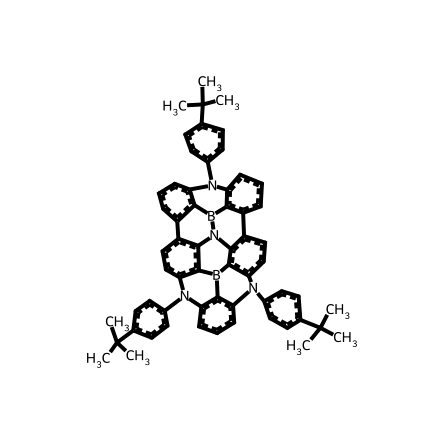 CC(C)(C)c1ccc(N2c3cccc4c3B3c5c(cccc52)-c2ccc5c6c2N3c2c-4ccc3c2B6c2c(cccc2N5c2ccc(C(C)(C)C)cc2)N3c2ccc(C(C)(C)C)cc2)cc1